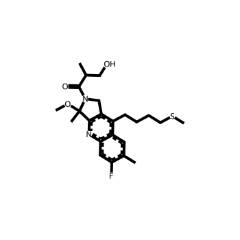 COC1(C)c2nc3cc(F)c(C)cc3c(CCCCSC)c2CN1C(=O)C(C)CO